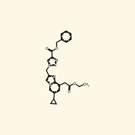 CCOC(=O)Cc1cc(C2CC2)cn2cc(Cn3cc(C(=O)OCc4ccccc4)nn3)nc12